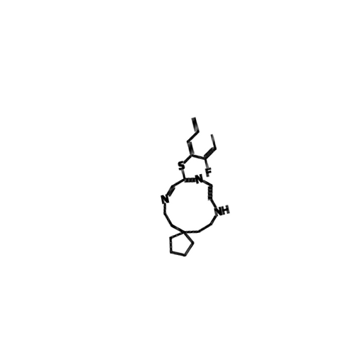 C=C/C=C(SC1=N/C=C/NCCC2(CCCC2)CC/N=C\1)\C(F)=C/C